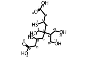 O=C(O)CC(S)CC(CO)(CC(S)CC(=O)O)C(CO)CO